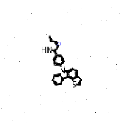 C=C/C=C\C(=N)c1ccc(-n2c3ccccc3c3c4sccc4ccc32)cc1